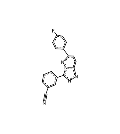 N#Cc1cccc(-c2nnc3ccc(-c4ccc(F)cc4)nn23)c1